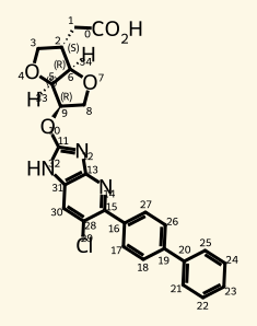 O=C(O)C[C@H]1CO[C@H]2[C@@H]1OC[C@H]2Oc1nc2nc(-c3ccc(-c4ccccc4)cc3)c(Cl)cc2[nH]1